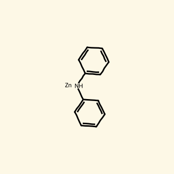 [Zn].c1ccc(Nc2ccccc2)cc1